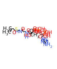 CCC(C)CC(=O)SCCNC(=O)CCNC(=O)[C@H](O)C(C)(C)COP(=O)(O)OP(=O)(O)OC[C@H]1O[C@@H](n2cnc3c(N)ncnc32)[C@H](O)[C@@H]1OP(=O)(O)O